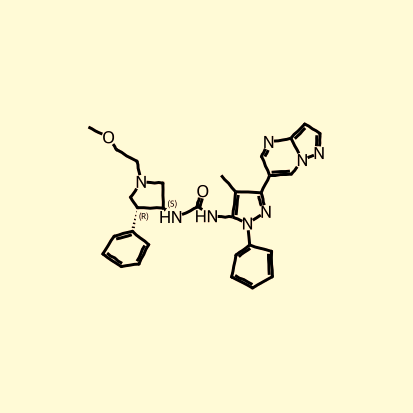 COCCN1C[C@@H](NC(=O)Nc2c(C)c(-c3cnc4ccnn4c3)nn2-c2ccccc2)[C@H](c2ccccc2)C1